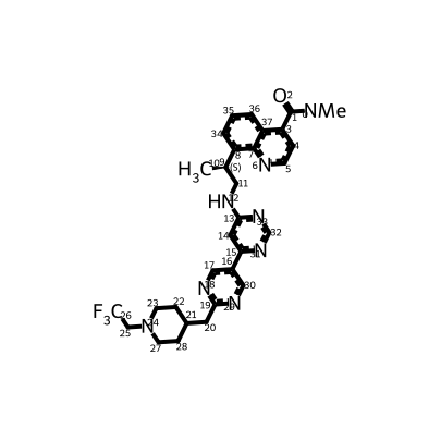 CNC(=O)c1ccnc2c([C@H](C)CNc3cc(-c4cnc(CC5CCN(CC(F)(F)F)CC5)nc4)ncn3)cccc12